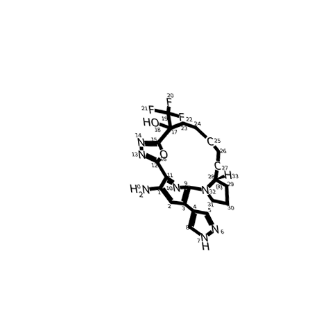 Nc1cc(-c2cn[nH]c2)c2nc1-c1nnc(o1)C(O)(C(F)(F)F)CCCCC[C@@H]1CCCN21